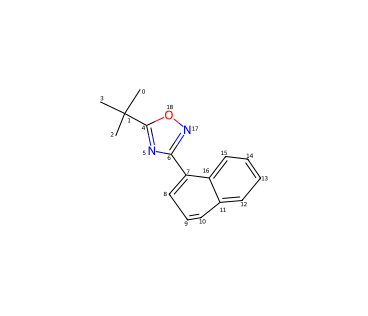 CC(C)(C)c1nc(-c2cccc3ccccc23)no1